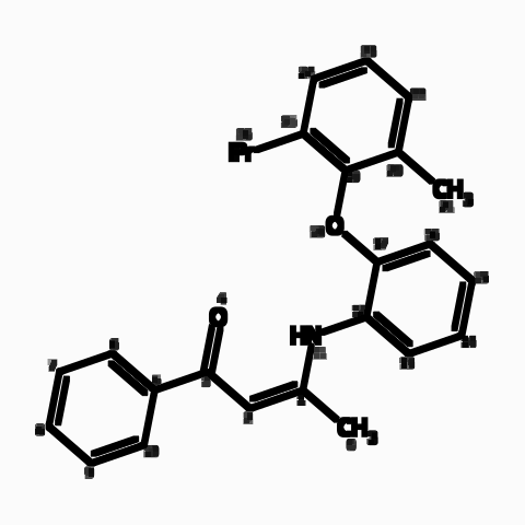 C/C(=C/C(=O)c1ccccc1)Nc1ccccc1Oc1c(C)cccc1C(C)C